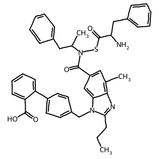 CCCc1nc2c(C)cc(C(=O)N(SC(=O)C(N)Cc3ccccc3)C(C)Cc3ccccc3)cc2n1Cc1ccc(-c2ccccc2C(=O)O)cc1